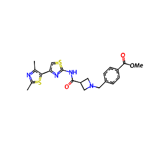 COC(=O)c1ccc(CN2CC(C(=O)Nc3nc(-c4sc(C)nc4C)cs3)C2)cc1